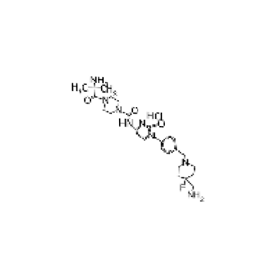 CC(C)(N)C(=O)N1CCN(C(=O)Nc2ccn(-c3ccc(CN4CCC(F)(CN)CC4)cc3)c(=O)n2)CC1.Cl